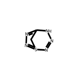 C1C2=NN=S1N=NN2